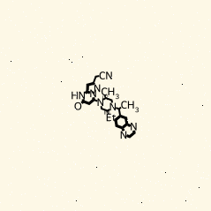 CC[C@@H]1CN(c2cc(=O)[nH]c3cc(CC#N)nn23)[C@@H](C)CN1C(C)c1ccc2nccnc2c1